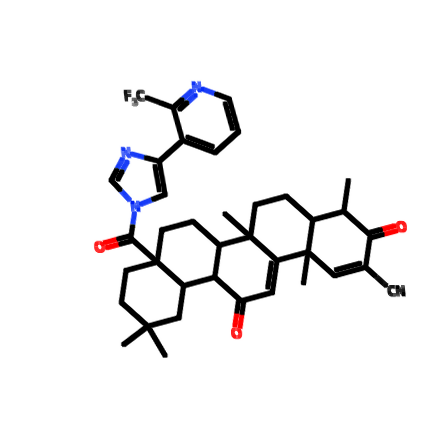 CC1C(=O)C(C#N)=CC2(C)C3=CC(=O)C4C(CCC5(C(=O)n6cnc(-c7cccnc7C(F)(F)F)c6)CCC(C)(C)CC45)C3(C)CCC12